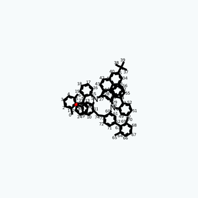 Cc1cccc(C)c1-c1ccc2c(c1)N(c1ccccc1-c1ccccc1)c1cc(c3ccc4cc(C(C)(C)C)cc5ccc1c3c54)N(c1ccccc1-c1ccccc1)c1cc(-c3c(C)cccc3C)ccc1C2